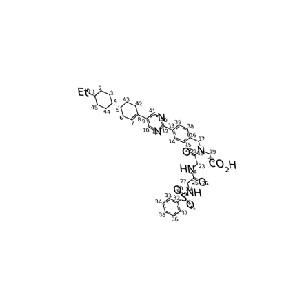 CC[C@H]1CC[C@H](C2CC=C(c3cnc(-c4ccc(CN(CC(=O)O)C(=O)CNC(=O)CNS(=O)(=O)c5ccccc5)cc4)nc3)CC2)CC1